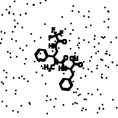 CN(C(=O)NC(Cc1ccccc1)C(=O)O)C(CNC(=O)C(F)(F)F)c1ccccc1